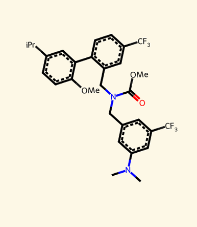 COC(=O)N(Cc1cc(N(C)C)cc(C(F)(F)F)c1)Cc1cc(C(F)(F)F)ccc1-c1cc(C(C)C)ccc1OC